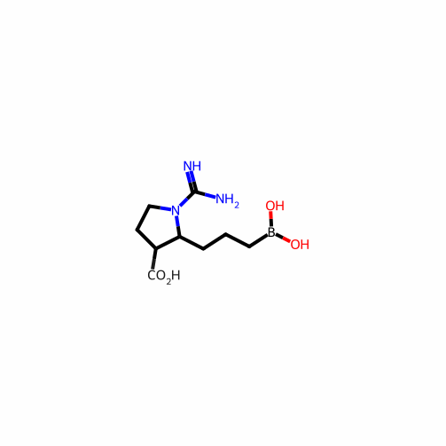 N=C(N)N1CCC(C(=O)O)C1CCCB(O)O